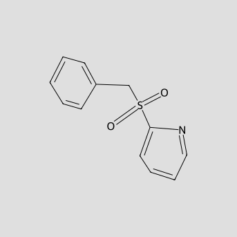 O=S(=O)(Cc1ccccc1)c1ccccn1